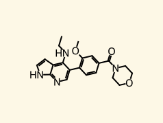 CCNc1c(-c2ccc(C(=O)N3CCOCC3)cc2OC)cnc2[nH]ccc12